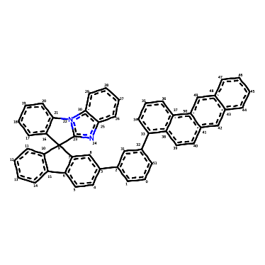 c1cc(-c2ccc3c(c2)C2(c4ccccc4-3)c3ccccc3-n3c2nc2ccccc23)cc(-c2cccc3c2ccc2cc4ccccc4cc23)c1